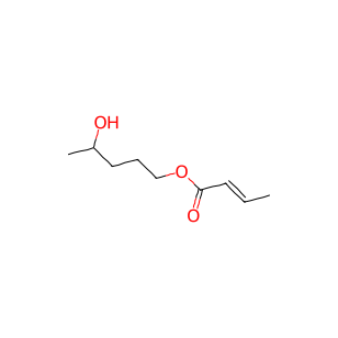 C/C=C/C(=O)OCCCC(C)O